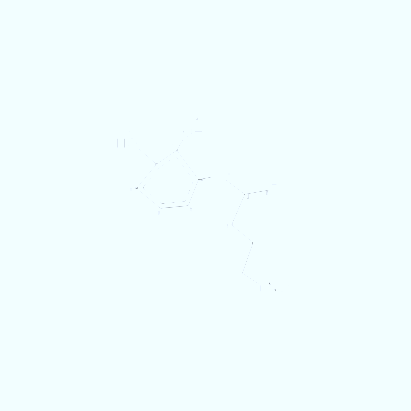 CCCCCCCCCCCCC(CC)Oc1cccc(O)c1O